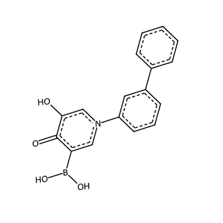 O=c1c(O)cn(-c2cccc(-c3ccccc3)c2)cc1B(O)O